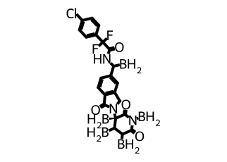 BC(NC(=O)C(F)(F)c1ccc(Cl)cc1)c1ccc2c(c1)CN([C@]1(B)C(=O)N(B)C(=O)C(B)C1B)C2=O